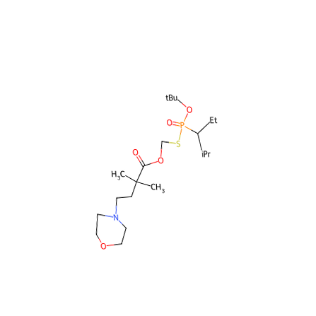 CCC(C(C)C)P(=O)(OC(C)(C)C)SCOC(=O)C(C)(C)CCN1CCOCC1